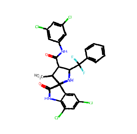 O=C(Nc1cc(Cl)cc(Cl)c1)C1C(C(F)(F)c2ccccc2)NC2(C(=O)Nc3c(Cl)cc(Cl)cc32)C1C(=O)O